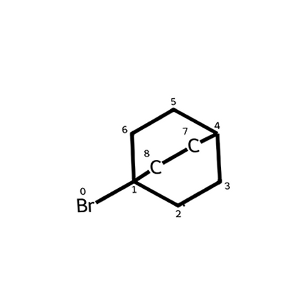 BrC12[CH]CC(CC1)CC2